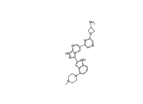 CN1CCN(c2cccc3[nH]c(-c4n[nH]c5ncc(-c6cncc(N7CC(N)C7)n6)cc45)cc23)CC1